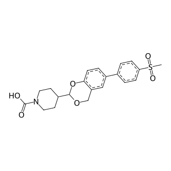 CS(=O)(=O)c1ccc(-c2ccc3c(c2)COC(C2CCN(C(=O)O)CC2)O3)cc1